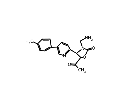 CC(=O)C1OC(=O)N(CN)C1c1ccc(-c2ccc(C)cc2)cn1